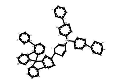 C1=CC(c2ccc3c(c2)C2(c4ccccc4-3)c3ccccc3-c3c(-c4ccccc4)cccc32)CC=C1N(c1ccc(-c2ccccc2)cc1)c1ccc(-c2ccccc2)cc1